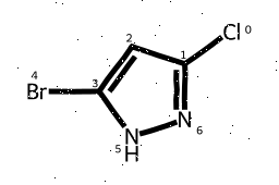 Clc1cc(Br)[nH]n1